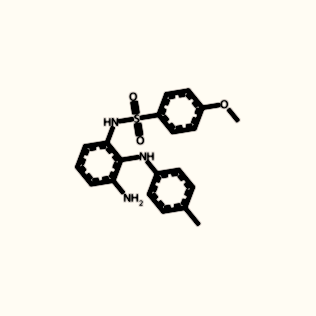 COc1ccc(S(=O)(=O)Nc2cccc(N)c2Nc2ccc(C)cc2)cc1